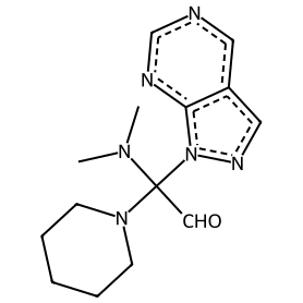 CN(C)C(C=O)(N1CCCCC1)n1ncc2cncnc21